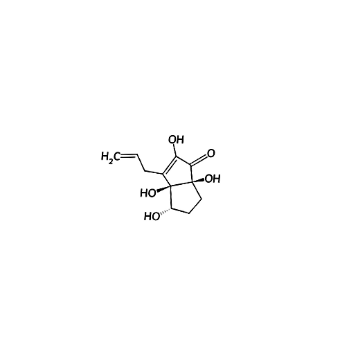 C=CCC1=C(O)C(=O)[C@]2(O)CC[C@H](O)[C@]12O